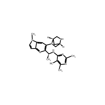 Cc1nc(C)c(C#N)c(N[C@@H](C)c2nc3ccn(C)c3cc2N2C[C@@H]3C[C@H]2CN3)n1